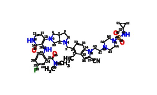 Cc1c(CN2CCC3CN(c4cc[nH]c(=O)c4Nc4ccc(F)cc4C(=O)N(C)C)CC32)ccc2c1cc(C#N)n2CCN1CCN(S(=O)(=O)NC2CC2)CC1